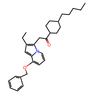 CCCCCC1CCC(C(=O)Cc2c(CC)cc3c(OCc4ccccc4)cccn23)CC1